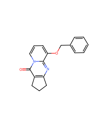 O=c1c2c(nc3c(OCc4ccccc4)cccn13)CCC2